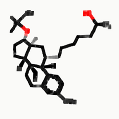 C=C[C@]12CCc3cc(OC)ccc3[C@H]1[C@@H](CCCCC[C@@H](O)C(F)(F)F)C[C@]1(C)[C@@H](O[Si](C)(C)C(C)(C)C)CC[C@H]12